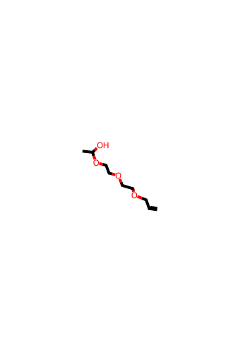 C=CCOCCOCCOC(C)O